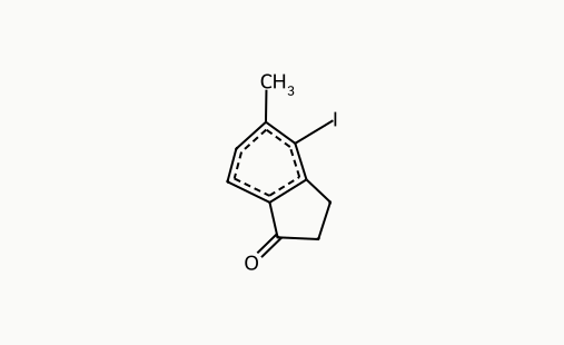 Cc1ccc2c(c1I)CCC2=O